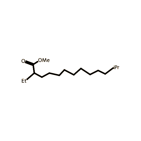 CCC(CCCCCCCCCC(C)C)C(=O)OC